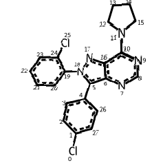 Clc1ccc(-c2c3ncnc(N4CCCC4)c3nn2-c2ccccc2Cl)cc1